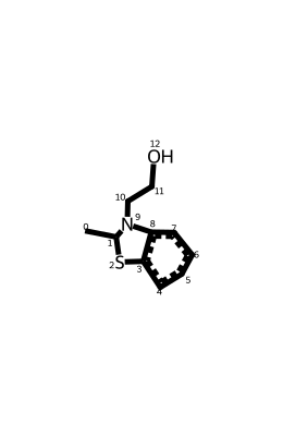 CC1Sc2ccccc2N1CCO